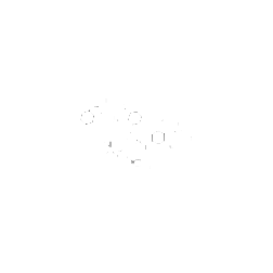 CN1CCN(C(N)=O)CC1.COc1cc(C(=O)N2CCC(CCN3CCC(C(=O)O)(c4ccccc4)CC3)(c3ccc(Cl)c(Cl)c3)C2)cc(OC)c1OC.Cl